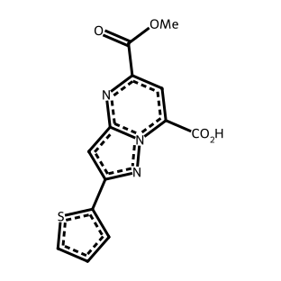 COC(=O)c1cc(C(=O)O)n2nc(-c3cccs3)cc2n1